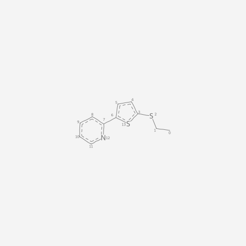 CCSc1ccc(-c2ccccn2)s1